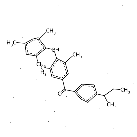 CCC(C)c1ccc(C(=O)c2cc(C)c(Bc3c(C)cc(C)cc3C)c(C)c2)cc1